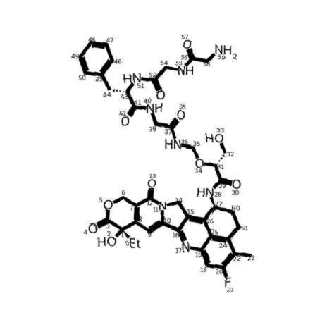 CC[C@@]1(O)C(=O)OCc2c1cc1n(c2=O)Cc2c-1nc1cc(F)c(C)c3c1c2[C@@H](NC(=O)[C@@H](CO)OCNC(=O)CNC(=O)[C@H](Cc1ccccc1)NC(=O)CNC(=O)CN)CC3